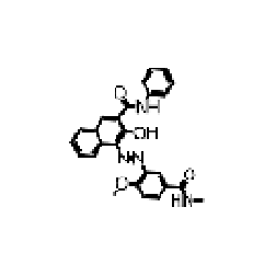 CNC(=O)c1ccc(OC)c(/N=N/c2c(O)c(C(=O)Nc3ccccc3)cc3ccccc23)c1